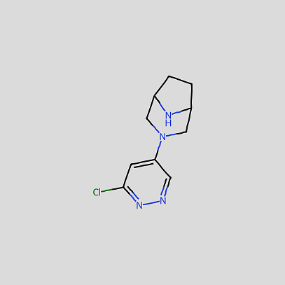 Clc1cc(N2CC3CCC(C2)N3)cnn1